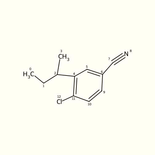 CCC(C)c1cc(C#N)ccc1Cl